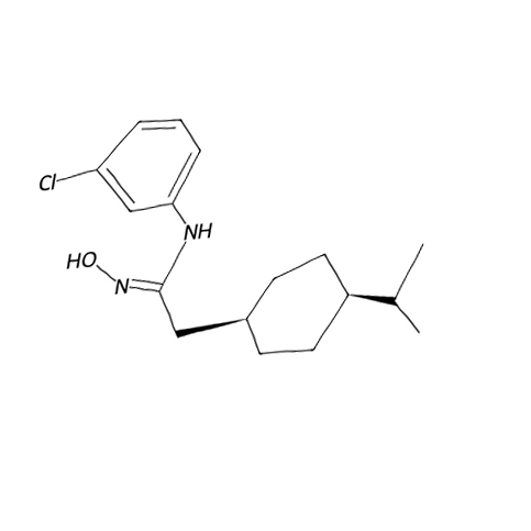 CC(C)[C@H]1CC[C@@H](C/C(=N/O)Nc2cccc(Cl)c2)CC1